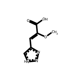 COC(=Cc1c[nH]nn1)C(=O)O